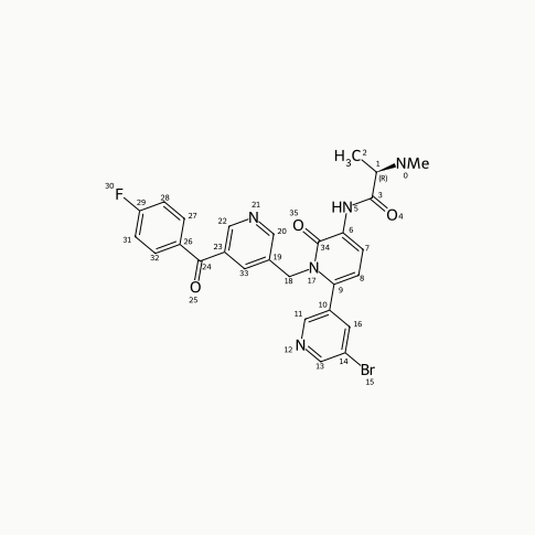 CN[C@H](C)C(=O)Nc1ccc(-c2cncc(Br)c2)n(Cc2cncc(C(=O)c3ccc(F)cc3)c2)c1=O